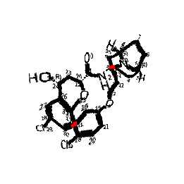 O=C(N[C@H]1C[C@H]2CC[C@@H](C1)N2CCCOc1ccc(Cl)cc1)[C@H]1C[C@@H](O)c2cc(Cl)ccc2O1